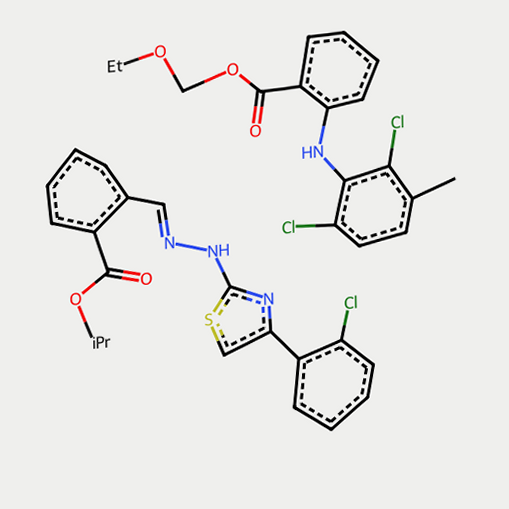 CC(C)OC(=O)c1ccccc1/C=N/Nc1nc(-c2ccccc2Cl)cs1.CCOCOC(=O)c1ccccc1Nc1c(Cl)ccc(C)c1Cl